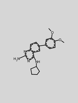 COc1ccc(-c2ccc3nc(N)nc(NC4CCCC4)c3c2)cc1OC